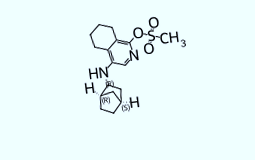 CS(=O)(=O)Oc1ncc(N[C@@H]2C[C@H]3CC[C@@H]2C3)c2c1CCCC2